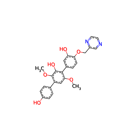 COc1cc(-c2ccc(O)cc2)c(OC)c(O)c1-c1ccc(OCc2cnccn2)c(O)c1